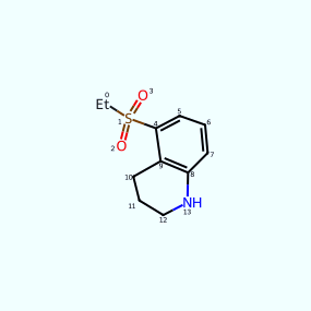 CCS(=O)(=O)c1cccc2c1CCCN2